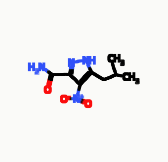 CC(C)Cc1[nH]nc(C(N)=O)c1[N+](=O)[O-]